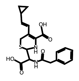 O=C(Cc1ccccc1)NC(C(=O)O)C1NC(C(=O)O)=C(/C=C/C2CC2)CS1